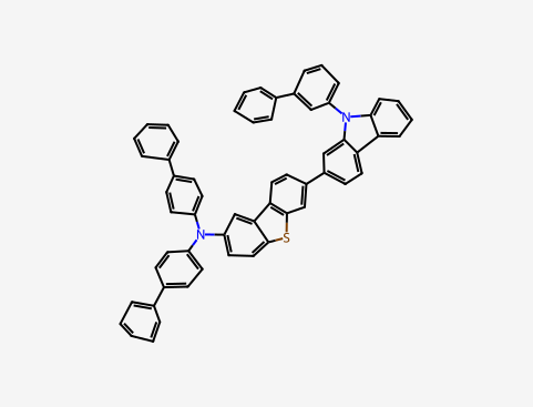 c1ccc(-c2ccc(N(c3ccc(-c4ccccc4)cc3)c3ccc4sc5cc(-c6ccc7c8ccccc8n(-c8cccc(-c9ccccc9)c8)c7c6)ccc5c4c3)cc2)cc1